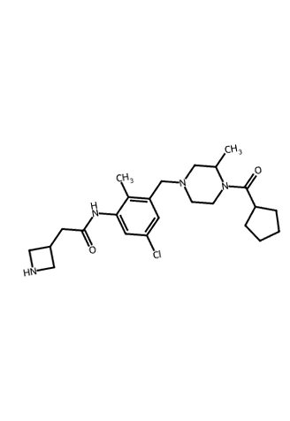 Cc1c(CN2CCN(C(=O)C3CCCC3)C(C)C2)cc(Cl)cc1NC(=O)CC1CNC1